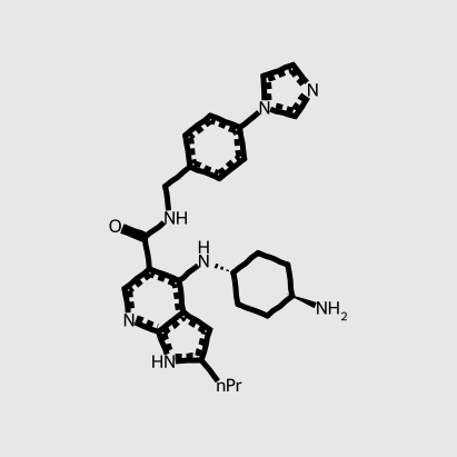 CCCc1cc2c(N[C@H]3CC[C@H](N)CC3)c(C(=O)NCc3ccc(-n4ccnc4)cc3)cnc2[nH]1